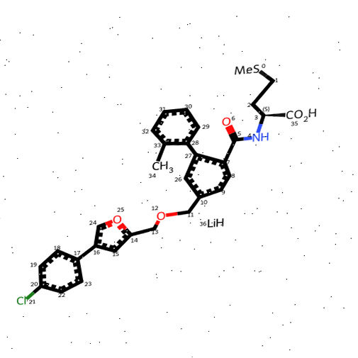 CSCC[C@H](NC(=O)c1ccc(COCc2cc(-c3ccc(Cl)cc3)co2)cc1-c1ccccc1C)C(=O)O.[LiH]